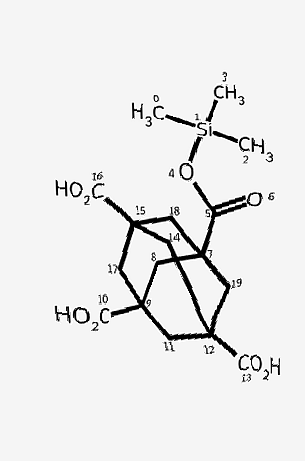 C[Si](C)(C)OC(=O)C12CC3(C(=O)O)CC(C(=O)O)(CC(C(=O)O)(C3)C1)C2